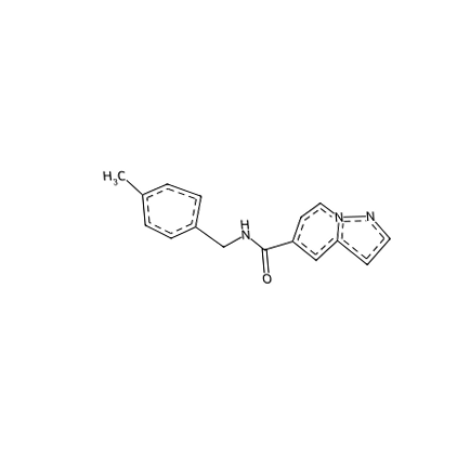 Cc1ccc(CNC(=O)c2ccn3nccc3c2)cc1